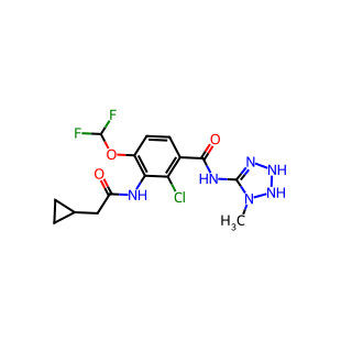 CN1NNN=C1NC(=O)c1ccc(OC(F)F)c(NC(=O)CC2CC2)c1Cl